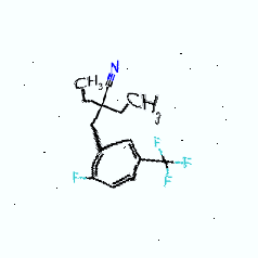 CCC(C#N)(CC)Cc1cc(C(F)(F)F)ccc1F